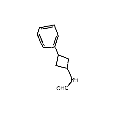 O=CNC1CC(c2ccccc2)C1